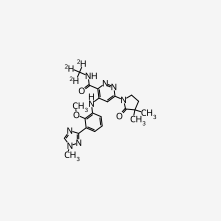 [2H]C([2H])([2H])NC(=O)c1nnc(N2CCC(C)(C)C2=O)cc1Nc1cccc(-c2ncn(C)n2)c1OC